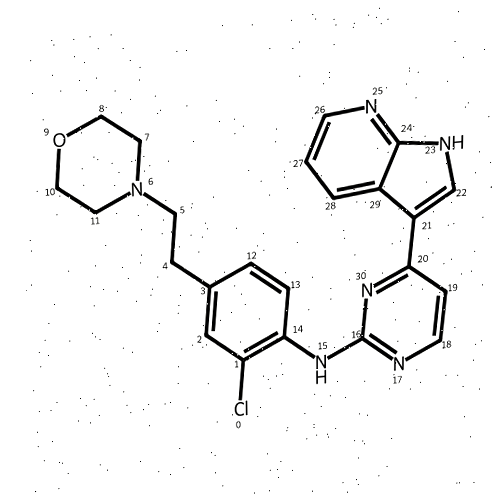 Clc1cc(CCN2CCOCC2)ccc1Nc1nccc(-c2c[nH]c3ncccc23)n1